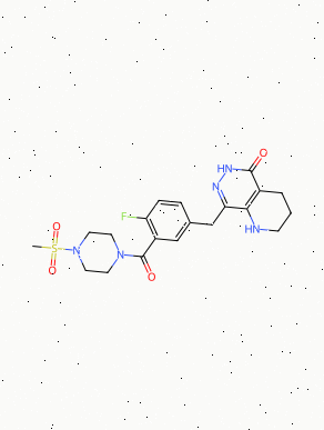 CS(=O)(=O)N1CCN(C(=O)c2cc(Cc3n[nH]c(=O)c4c3NCCC4)ccc2F)CC1